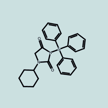 O=C1CN(C2CCCCC2)C(=O)N1[Si](c1ccccc1)(c1ccccc1)c1ccccc1